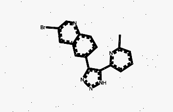 Cc1cccc(-c2[nH]nnc2-c2ccc3ncc(Br)cc3c2)n1